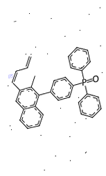 C=C/C=C\c1cc2ccccc2c(-c2ccc(P(=O)(c3ccccc3)c3ccccc3)cc2)c1C